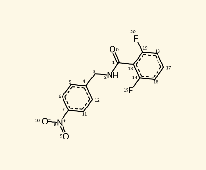 O=C(NCc1ccc([N+](=O)[O-])cc1)c1c(F)cccc1F